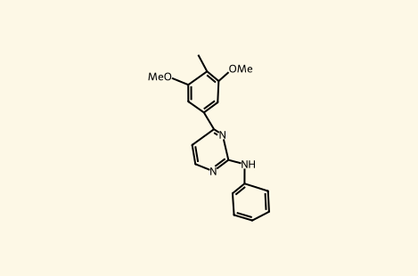 COc1cc(-c2ccnc(Nc3ccccc3)n2)cc(OC)c1C